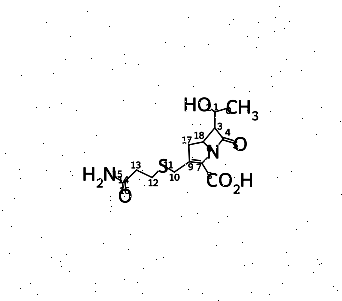 CC(O)C1C(=O)N2C(C(=O)O)=C(CSCCC(N)=O)CC12